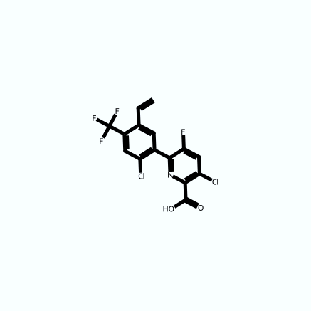 C=Cc1cc(-c2nc(C(=O)O)c(Cl)cc2F)c(Cl)cc1C(F)(F)F